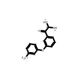 O=C(c1cccc(Oc2cccc(C(F)(F)F)c2)c1)C(O)O